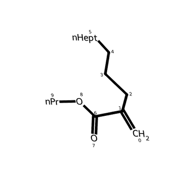 C=C(CCCCCCCCCC)C(=O)OCCC